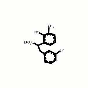 CCOC(=O)C(Cc1cccc(Br)c1)c1cccc(C)c1C#N